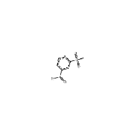 CCC(=O)c1ccnc(S(C)(=O)=O)c1